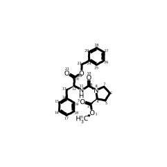 COC(=O)[C@@H]1CCCN1C(=O)N[C@@H](Cc1ccccc1)C(=O)OCc1ccccc1